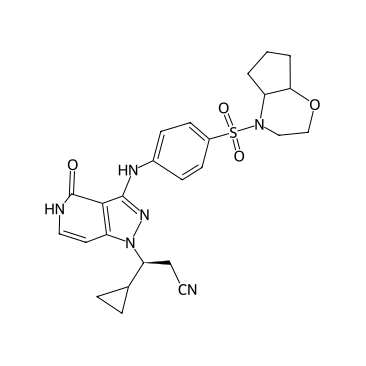 N#CC[C@@H](C1CC1)n1nc(Nc2ccc(S(=O)(=O)N3CCOC4CCCC43)cc2)c2c(=O)[nH]ccc21